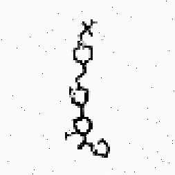 C=C(c1ccc(-c2ccc(CCC3CCN(CC(C)(C)F)CC3)nc2)cc1F)N1CCCC1